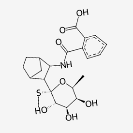 CS[C@]1(C2C3CCC(C3)C2NC(=O)c2ccccc2C(=O)O)O[C@@H](C)[C@@H](O)[C@@H](O)[C@@H]1O